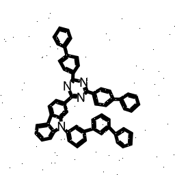 c1ccc(-c2ccc(-c3nc(-c4ccc(-c5ccccc5)cc4)nc(-c4ccc5c6ccccc6n(-c6cccc(-c7cccc(-c8ccccc8)c7)c6)c5c4)n3)cc2)cc1